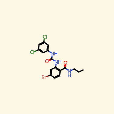 CCCNC(=O)c1ccc(Br)cc1NC(=O)Nc1cc(Cl)cc(Cl)c1